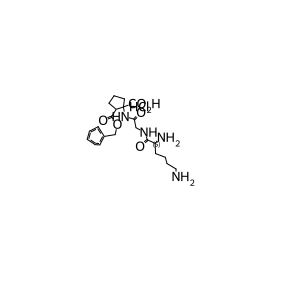 Cl.NCCCC[C@H](N)C(=O)NCC(=O)NC1(C(=O)O)CCCC1C(=O)OCc1ccccc1